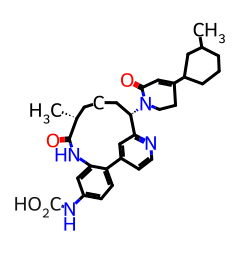 CC1CCCC(C2=CC(=O)N([C@H]3CCC[C@@H](C)C(=O)Nc4cc(NC(=O)O)ccc4-c4ccnc3c4)CC2)C1